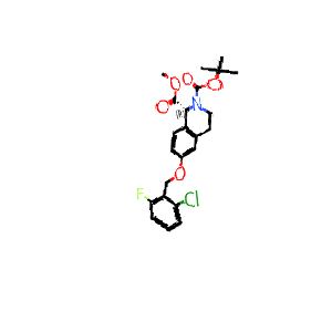 COC(=O)[C@H]1c2ccc(OCc3c(F)cccc3Cl)cc2CCN1C(=O)OC(C)(C)C